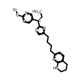 CCOc1ncc([C@@H](CC(=O)O)c2nc(CCCCc3ccc4c(n3)NCCC4)cs2)cn1